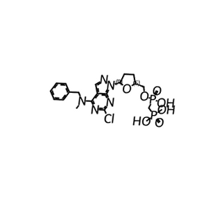 CN(Cc1ccccc1)c1nc(Cl)nc2c1cnn2[C@H]1CC[C@@H](COP(=O)(O)CP(=O)(O)O)O1